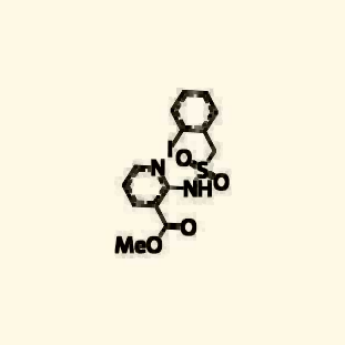 COC(=O)c1cccnc1NS(=O)(=O)Cc1ccccc1I